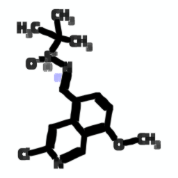 COc1ccc(/C=N/[S@@+]([O-])C(C)(C)C)c2cc(Cl)ncc12